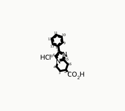 Cl.O=C(O)C1CCn2cc(-c3ccccc3)nc2C1